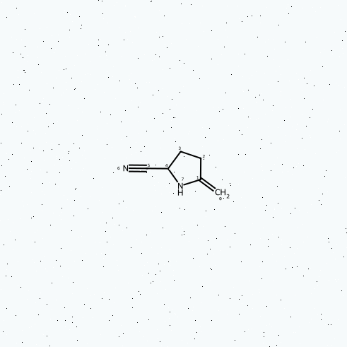 C=C1CCC(C#N)N1